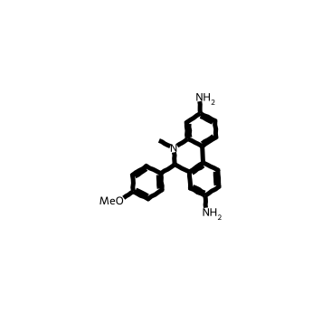 COc1ccc(C2c3cc(N)ccc3-c3ccc(N)cc3N2C)cc1